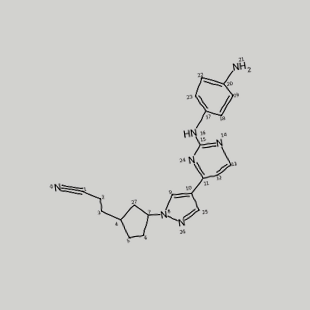 N#CCCC1CCC(n2cc(-c3ccnc(Nc4ccc(N)cc4)n3)cn2)C1